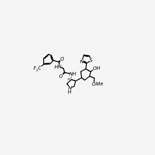 COCC1CC(C2CNC[C@@H]2NC(=O)CNC(=O)c2cccc(C(F)(F)F)c2)CC(c2nccs2)C1O